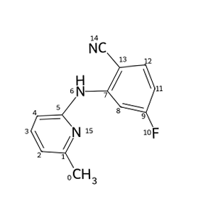 Cc1cccc(Nc2cc(F)ccc2C#N)n1